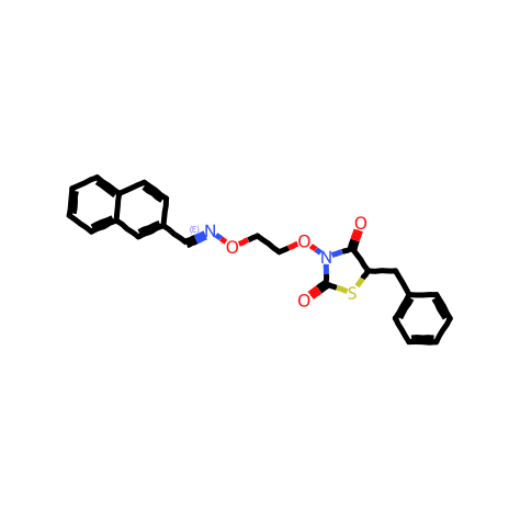 O=C1SC(Cc2ccccc2)C(=O)N1OCCO/N=C/c1ccc2ccccc2c1